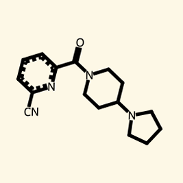 N#Cc1cccc(C(=O)N2CCC(N3CCCC3)CC2)n1